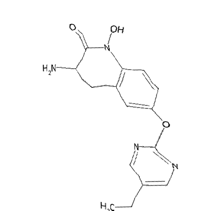 CCc1cnc(Oc2ccc3c(c2)CC(N)C(=O)N3O)nc1